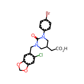 O=C(O)CC1CN(Cc2cc3c(cc2Cl)OCO3)C(=O)N(c2ccc(Br)cc2)C1